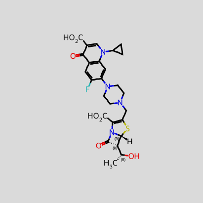 C[C@@H](O)[C@@H]1C(=O)N2C(C(=O)O)=C(CN3CCN(c4cc5c(cc4F)c(=O)c(C(=O)O)cn5C4CC4)CC3)S[C@H]12